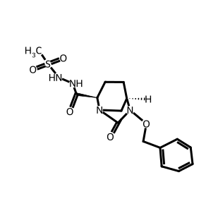 CS(=O)(=O)NNC(=O)[C@H]1CC[C@@H]2CN1C(=O)N2OCc1ccccc1